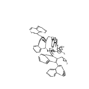 CCC1=C(c2cccc3ccccc23)c2ccccc2[CH]1[Hf+2]([CH]1C(CC)=C(c2cccc3ccccc23)c2ccccc21)=[Ge]([CH3])[CH3].[Cl-].[Cl-]